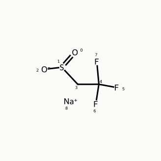 O=S([O-])CC(F)(F)F.[Na+]